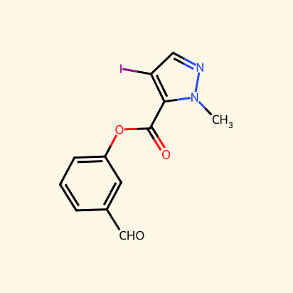 Cn1ncc(I)c1C(=O)Oc1cccc(C=O)c1